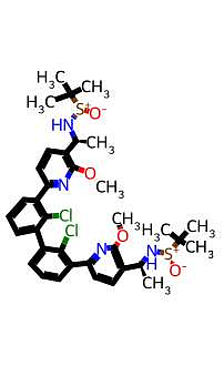 COc1nc(-c2cccc(-c3cccc(-c4ccc([C@H](C)N[S@+]([O-])C(C)(C)C)c(OC)n4)c3Cl)c2Cl)ccc1[C@H](C)N[S+]([O-])C(C)(C)C